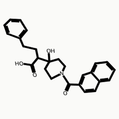 O=C(O)C(CCc1ccccc1)C1(O)CCN(C(=O)c2ccc3ccccc3c2)CC1